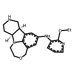 CCOc1ncccc1Nc1cc2c3c(c1)[C@@H]1CNCC[C@@H]1N3CCOC2